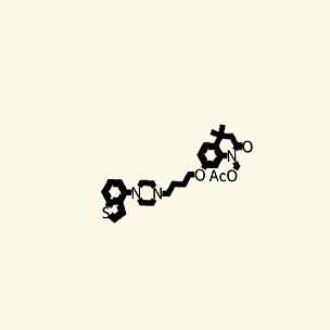 CC(=O)OCN1C(=O)CC(C)(C)c2ccc(OCCCCN3CCN(c4cccc5sccc45)CC3)cc21